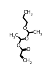 C=CC(=O)OC(C)OC(C)OCCC